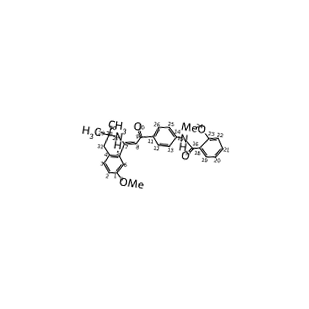 COc1ccc2c(c1)C(=CC(=O)c1ccc(NC(=O)c3ccccc3OC)cc1)NC(C)(C)C2